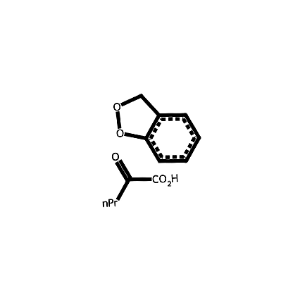 CCCC(=O)C(=O)O.c1ccc2c(c1)COO2